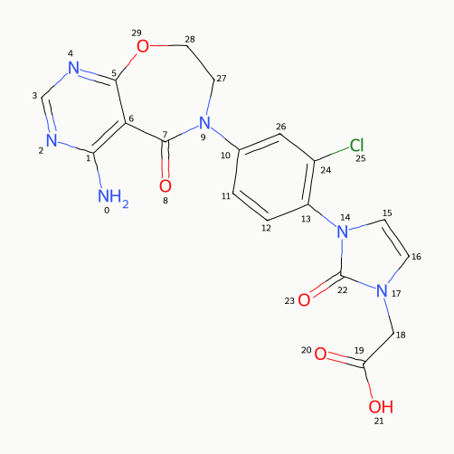 Nc1ncnc2c1C(=O)N(c1ccc(-n3ccn(CC(=O)O)c3=O)c(Cl)c1)CCO2